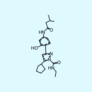 CCNC(=O)n1nc(-c2ccc(NC(=O)CC(C)C)cc2O)cc1C1CCCC1